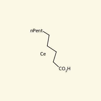 CCCCCCCCCC(=O)O.[Ce]